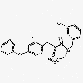 O=C(O)C[C@@H](Cc1cccc(Cl)c1)NC(=O)Cc1ccc(Oc2ccccc2)cc1